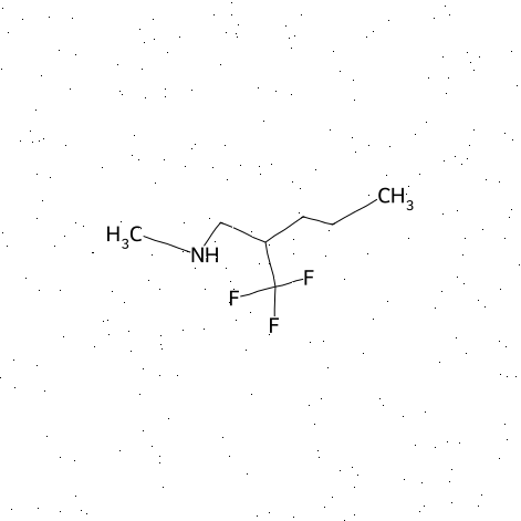 CCCC(CNC)C(F)(F)F